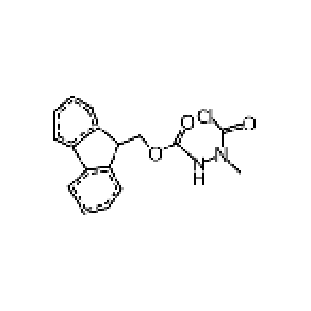 CN(NC(=O)OCC1c2ccccc2-c2ccccc21)C(=O)Cl